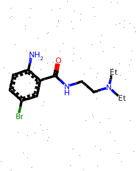 CCN(CC)CCNC(=O)c1cc(Br)ccc1N